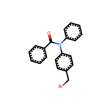 O=C(c1ccccc1)N(c1ccccc1)c1ccc(CBr)cc1